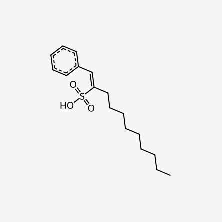 CCCCCCCCCC(=Cc1ccccc1)S(=O)(=O)O